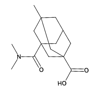 CN(C)C(=O)C12CC3CC(C)(CC(C(=O)O)(C3)C1)C2